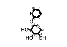 O[C@@H]1[C@@H](O)[C@H](Oc2ccccn2)SC[C@H]1O